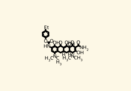 CCc1ccc(OC(=O)Nc2cc(N(C)C)c3c(c2O)C(=O)C2=C(O)[C@]4(O)C(=O)C(C(N)=O)=C(O)[C@H](N(C)C)[C@@H]4C[C@@H]2C3)cc1